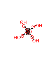 C[Si]1(CCCOCCO)O[Si](C)(CCCOCCO)O[Si](C)(CCCOCCO)O[Si](C)(CCCOCCO)O1